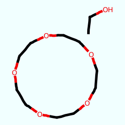 C1COCCOCCOCCOCCO1.CCO